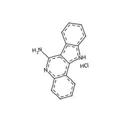 Cl.Nc1nc2ccccc2c2[nH]c3ccccc3c12